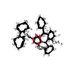 Cc1cccc2c1C1(c3ccccc3)c3c(C)cccc3C2(c2ccccc2)c2cc(-n3c4ccccc4c4ccccc43)cc(C)c21